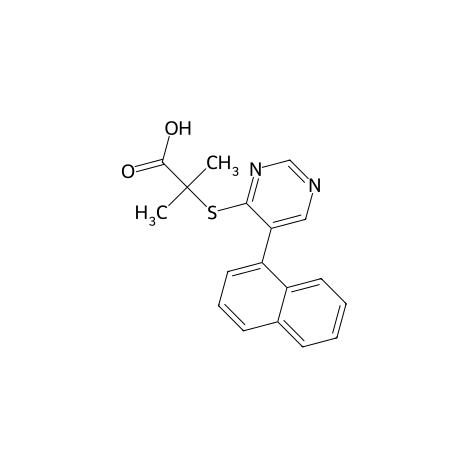 CC(C)(Sc1ncncc1-c1cccc2ccccc12)C(=O)O